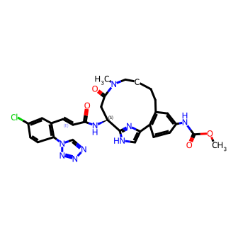 COC(=O)Nc1ccc2c(c1)CCCCN(C)C(=O)C[C@H](NC(=O)/C=C/c1cc(Cl)ccc1-n1cnnn1)c1nc-2c[nH]1